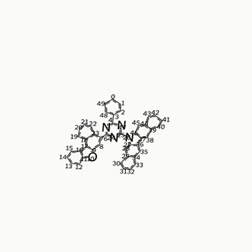 c1ccc(-c2nc(-c3cc4oc5ccccc5c4c4ccccc34)nc(-n3c4cc5ccccc5cc4c4cc5ccccc5cc43)n2)cc1